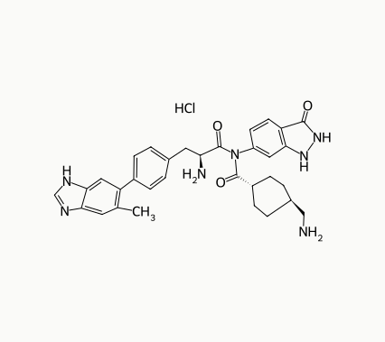 Cc1cc2nc[nH]c2cc1-c1ccc(C[C@H](N)C(=O)N(c2ccc3c(=O)[nH][nH]c3c2)C(=O)[C@H]2CC[C@H](CN)CC2)cc1.Cl